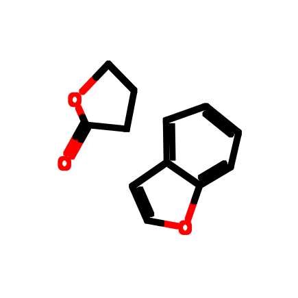 O=C1CCCO1.c1ccc2occc2c1